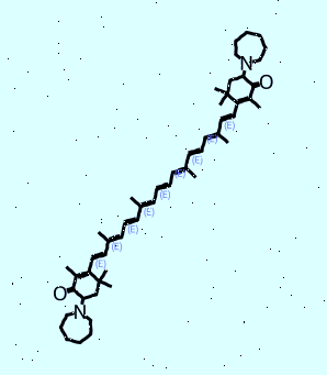 CC1=C(/C=C/C(C)=C/C=C/C(C)=C/C=C/C=C(C)/C=C/C=C(C)/C=C/C2=C(C)C(=O)C(N3CCCCCC3)CC2(C)C)C(C)(C)CC(N2CCCCCC2)C1=O